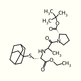 CCOC(=O)[C@H](CSC12CC3CC(CC(C3)C1)C2)NC(C)C(=O)N1CCC[C@H]1C(=O)OC(C)(C)C